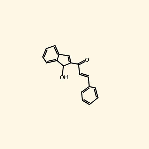 O=C(C=Cc1ccccc1)C1=Cc2ccccc2C1O